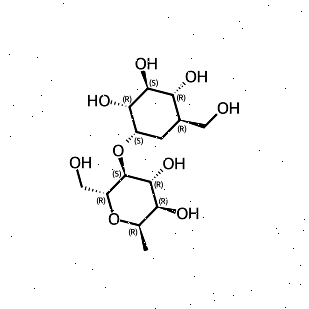 C[C@H]1O[C@H](CO)[C@@H](O[C@H]2C[C@H](CO)[C@@H](O)[C@H](O)[C@H]2O)[C@H](O)[C@H]1O